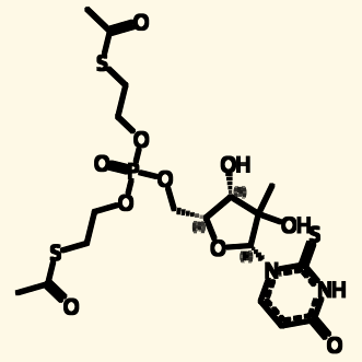 CC(=O)SCCOP(=O)(OCCSC(C)=O)OC[C@H]1O[C@@H](n2ccc(=O)[nH]c2=S)C(C)(O)[C@H]1O